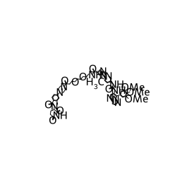 COc1cc(-c2c(NC(=O)Nc3cnc(-n4cc(C(=O)NCCOCCOCCC(=O)N5CCN(c6ccc7c(c6)CN(C6CCC(=O)NC6=O)C7=O)CC5)cn4)c(C)c3)cnc3ccnn23)cc(OC)c1OC